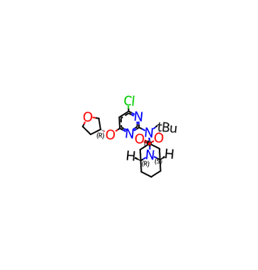 CN(c1nc(Cl)cc(O[C@@H]2CCOC2)n1)[C@@H]1C[C@H]2CCC[C@@H](C1)N2C(=O)OC(C)(C)C